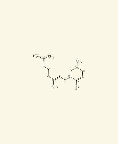 CC(C)=CCC/C(C)=C/CC1CC(C)CC=C1C(C)C